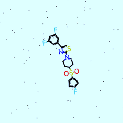 O=S(=O)(c1ccc(F)cc1)C1CCN(c2nc(-c3cc(F)cc(F)c3)cs2)CC1